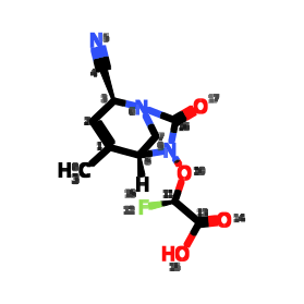 CC1=C[C@@H](C#N)N2C[C@@H]1N(O[C@H](F)C(=O)O)C2=O